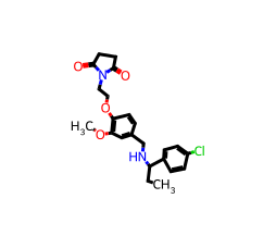 CCC(NCc1ccc(OCCN2C(=O)CCC2=O)c(OC)c1)c1ccc(Cl)cc1